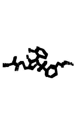 CSCc1cccc(S(=O)(=O)n2cc(CCNC(=O)O)c(F)c2-c2cccnc2F)c1